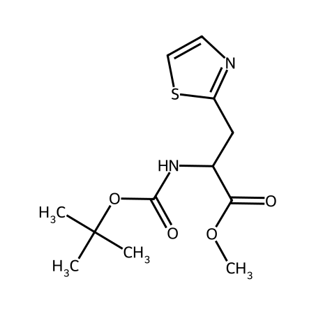 COC(=O)C(Cc1nccs1)NC(=O)OC(C)(C)C